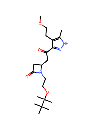 COCCc1c(C(=O)C[C@@H]2CC(=O)N2CCO[Si](C)(C)C(C)(C)C)n[nH]c1C